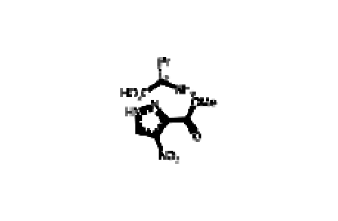 CC(C)[C@H](N)C(=O)O.COC(=O)c1n[nH]cc1[N+](=O)[O-]